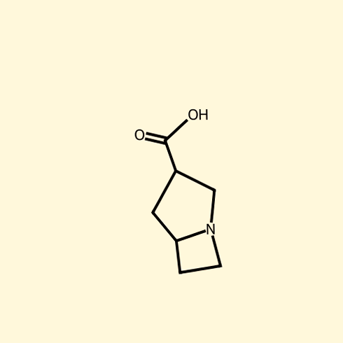 O=C(O)C1CC2CCN2C1